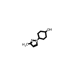 Cc1ccn(C2CCC(O)CC2)n1